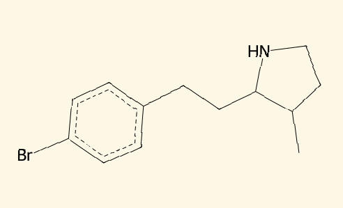 CC1CCNC1CCc1ccc(Br)cc1